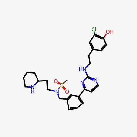 CS(=O)(=O)N(CCC1CCCCN1)Cc1cccc(-c2ccnc(NCCc3ccc(O)c(Cl)c3)n2)c1